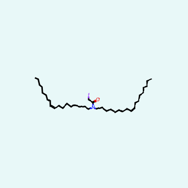 CCCCCCCC/C=C\CCCCCCCCN(CCCCCCCC/C=C\CCCCCCCC)C(=O)CI